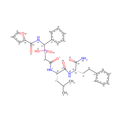 CC(C)C[C@H](NC(=O)CP(=O)(O)C(NC(=O)c1ccco1)c1ccccc1)C(=O)N[C@@H](CCc1ccccc1)C(N)=O